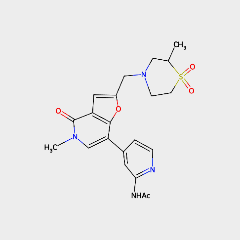 CC(=O)Nc1cc(-c2cn(C)c(=O)c3cc(CN4CCS(=O)(=O)C(C)C4)oc23)ccn1